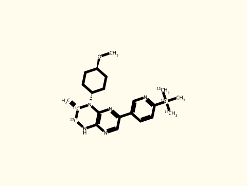 C=[13C]1[13CH2]Nc2ncc(-c3ccc([13C](C)([13CH3])[13CH3])nc3)nc2N1[C@H]1CC[C@H](OC)CC1